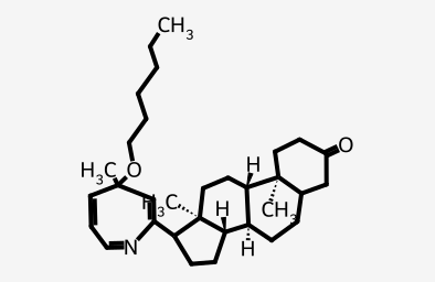 CCCCCCOC1(C)C=CC=NC(C2CC[C@H]3[C@@H]4CCC5CC(=O)CC[C@]5(C)[C@H]4CC[C@]23C)=C1